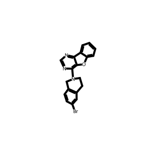 Brc1ccc2c(c1)CCN(c1ncnc3c1oc1ccccc13)C2